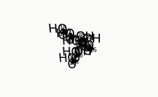 CC(=O)O.CC(=O)O.CC(=O)O.CC(=O)O.CC(=O)O[C@@H]1O[C@H](CO)[C@@H](O)[C@H](O)[C@@H]1O